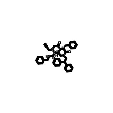 C#CCN1CC(=O)N2[C@@H](Cc3ccccc3)C(=O)N(CC(c3ccccc3)c3ccccc3)C[C@@H]2N1C(=O)NCc1ccccc1